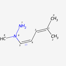 CC(C)=C/C=C\N(N)C=O